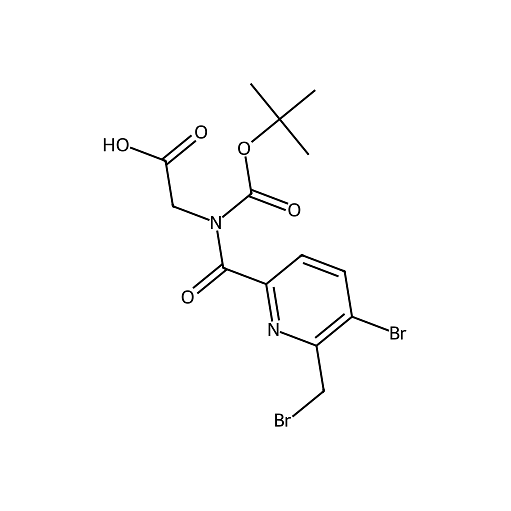 CC(C)(C)OC(=O)N(CC(=O)O)C(=O)c1ccc(Br)c(CBr)n1